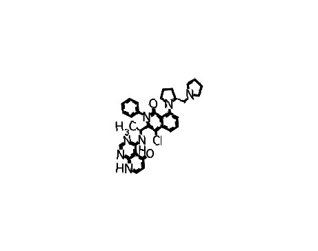 C[C@H](Nc1ncnc2[nH]ccc(=O)c12)c1c(Cl)c2cccc(N3CCC[C@H]3CN3CCCC3)c2c(=O)n1-c1ccccc1